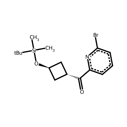 CC(C)(C)[Si](C)(C)O[C@H]1C[C@H](C(=O)c2cccc(Br)n2)C1